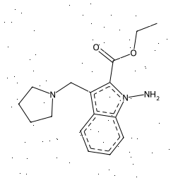 CCOC(=O)c1c(CN2CCCC2)c2ccccc2n1N